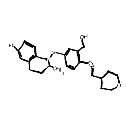 CCc1ccc2c(c1)CCC(C)N2Sc1ccc(OCC2CCOCC2)c(CO)c1